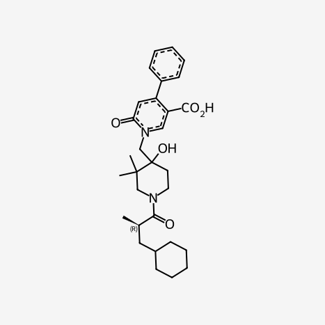 C[C@H](CC1CCCCC1)C(=O)N1CCC(O)(Cn2cc(C(=O)O)c(-c3ccccc3)cc2=O)C(C)(C)C1